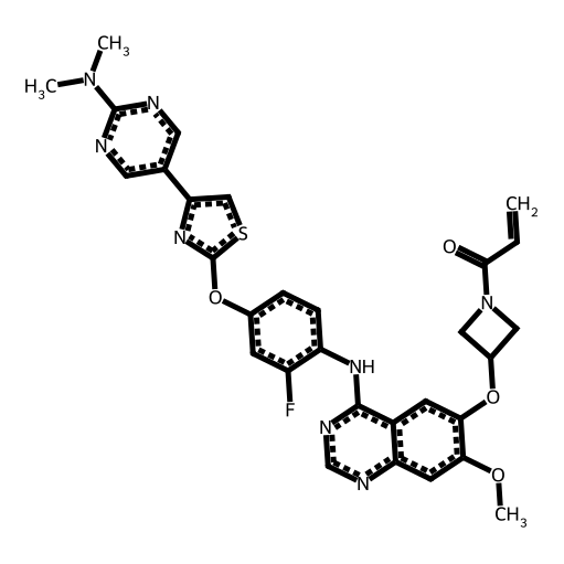 C=CC(=O)N1CC(Oc2cc3c(Nc4ccc(Oc5nc(-c6cnc(N(C)C)nc6)cs5)cc4F)ncnc3cc2OC)C1